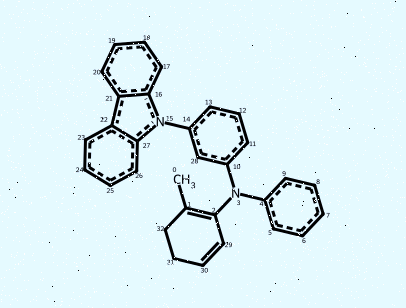 CC1=C(N(c2ccccc2)c2cccc(-n3c4ccccc4c4ccccc43)c2)C=CCC1